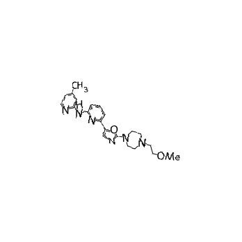 COCCN1CCN(c2ncc(-c3cccc(Nc4cc(C)ccn4)n3)o2)CC1